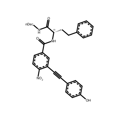 CCCCCCCCCCNC(=O)[C@H](CCc1ccccc1)NC(=O)c1ccc([N+](=O)[O-])c(C#Cc2ccc(O)cc2)c1